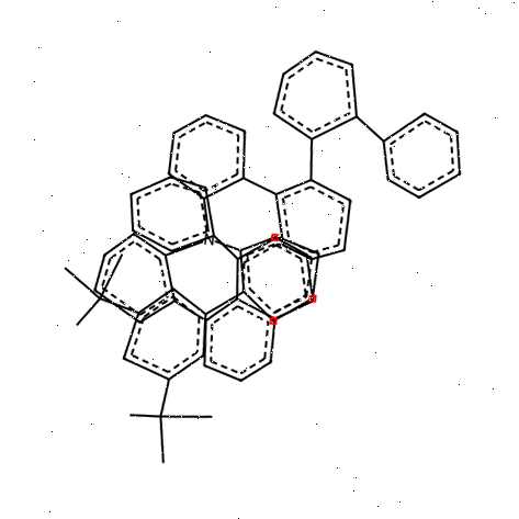 CC(C)(C)c1cc(-c2ccccc2N(c2ccccc2-c2ccccc2-c2ccccc2-c2ccccc2)c2ccccc2-c2cccc3cccc(-c4ccccc4)c23)cc(C(C)(C)C)c1